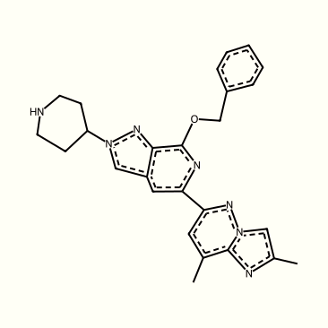 Cc1cn2nc(-c3cc4cn(C5CCNCC5)nc4c(OCc4ccccc4)n3)cc(C)c2n1